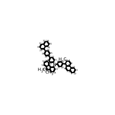 CC1C=Cc2c(ccc3ccccc23)C1c1ccc(N(c2ccc(-c3ccc(-c4cccc5ccccc45)cc3)cc2)c2cccc3c2-c2ccccc2C3(C)C)cc1